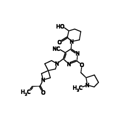 C=CC(=O)N1CC2(CCN(c3nc(OCC4CCCN4C)nc(N4CCCC(O)C4=O)c3C#N)C2)C1